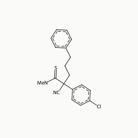 CNC(=S)C(C#N)(CCCc1ccccc1)c1ccc(Cl)cc1